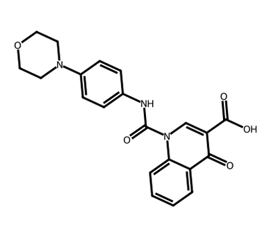 O=C(O)c1cn(C(=O)Nc2ccc(N3CCOCC3)cc2)c2ccccc2c1=O